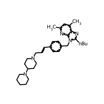 CCCCc1nc2c(C)cc(C)nc2n1Cc1ccc(/C=C/CN2CCC(N3CCCCC3)CC2)cc1